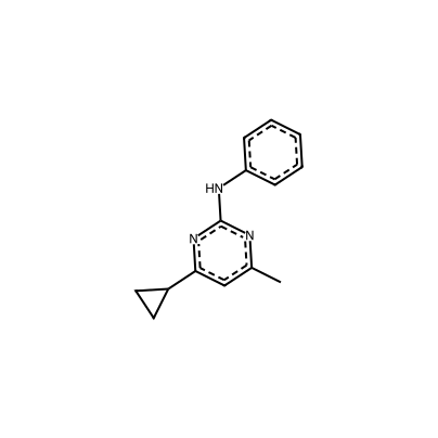 Cc1cc(C2CC2)nc(Nc2ccccc2)n1